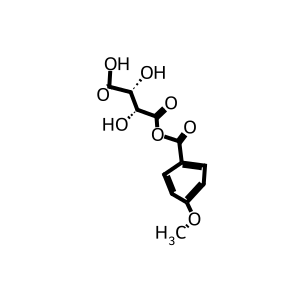 COc1ccc(C(=O)OC(=O)[C@H](O)[C@@H](O)C(=O)O)cc1